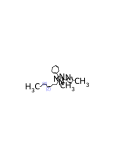 CC/C=C\C=C/CCC1N=C(C2=CCCC=CC2)N=C(c2ccc(C)cn2)N1C